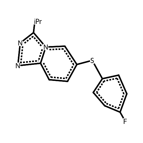 CC(C)c1nnc2ccc(Sc3ccc(F)cc3)cn12